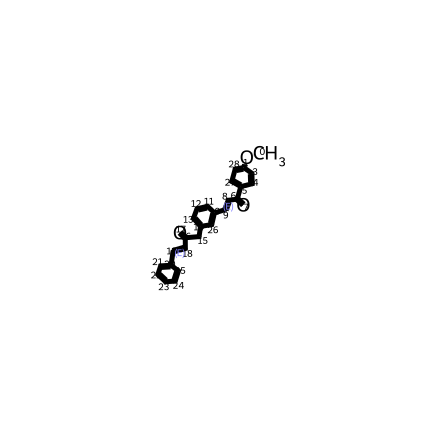 COc1ccc(C(=O)/C=C/c2cccc(CC(=O)/C=C/c3ccccc3)c2)cc1